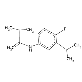 C=C(Nc1ccc(F)c(C(C)C)c1)C(C)C